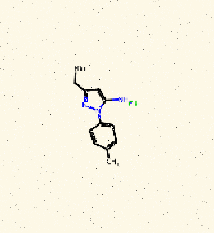 Cc1ccc(-n2nc(CC(C)(C)C)cc2N)cc1.Cl